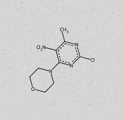 Cc1nc(Cl)nc(N2CCOCC2)c1[N+](=O)[O-]